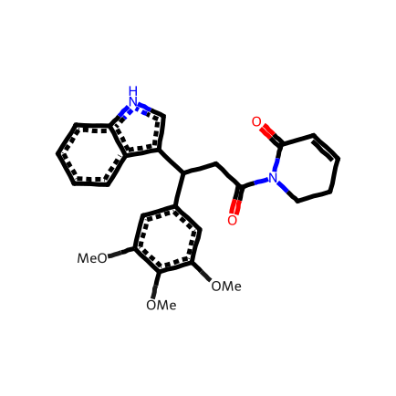 COc1cc(C(CC(=O)N2CCC=CC2=O)c2c[nH]c3ccccc23)cc(OC)c1OC